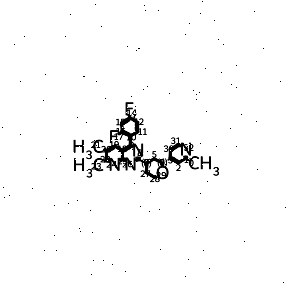 Cc1cc([C@H]2C[C@H](c3nc(-c4ccc(F)cc4F)c4cc(C)c(C)nc4n3)CCO2)ccn1